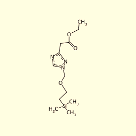 CCOC(=O)Cc1ncn(COCC[Si](C)(C)C)n1